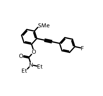 CCN(CC)C(=O)Oc1cccc(SC)c1C#Cc1ccc(F)cc1